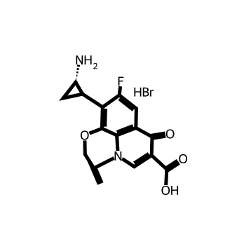 Br.C=C1COc2c(C3C[C@@H]3N)c(F)cc3c(=O)c(C(=O)O)cn1c23